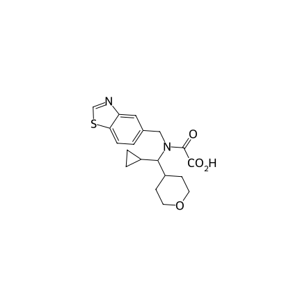 O=C(O)C(=O)N(Cc1ccc2scnc2c1)C(C1CCOCC1)C1CC1